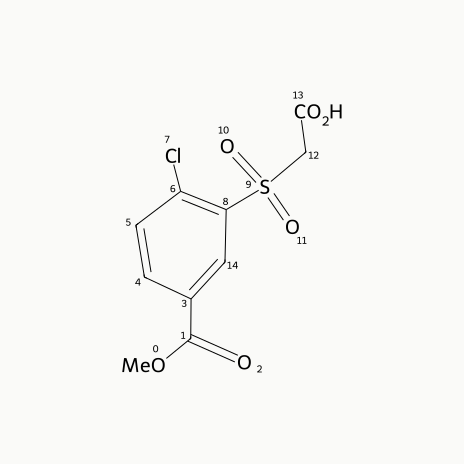 COC(=O)c1ccc(Cl)c(S(=O)(=O)CC(=O)O)c1